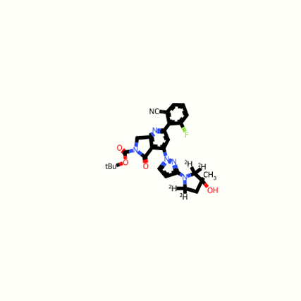 [2H]C1([2H])CC(C)(O)C([2H])([2H])N1c1ccn(-c2cc(-c3c(F)cccc3C#N)nc3c2C(=O)N(C(=O)OC(C)(C)C)C3)n1